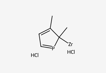 CC1=CC=P[C]1(C)[Zr].Cl.Cl